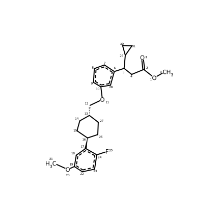 COC(=O)CC(c1cccc(OC[C@H]2CC[C@H](c3cc(OC)ccc3F)CC2)c1)C1CC1